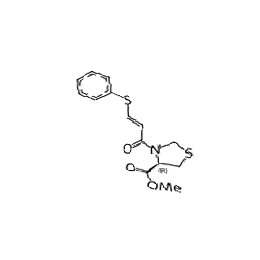 COC(=O)[C@@H]1CSCN1C(=O)C=CSc1ccccc1